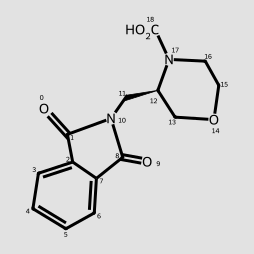 O=C1c2ccccc2C(=O)N1C[C@@H]1COCCN1C(=O)O